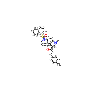 CCOC(=O)CN(c1ccc2c(c1)c(C(=O)CCc1ccc(C#N)cc1)cn2C)S(=O)(=O)c1cccc2ccccc12